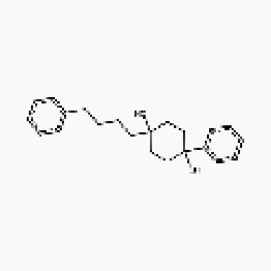 OC1(CCCCc2ccccc2)CCC(O)(c2ccccc2)CC1